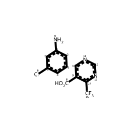 Nc1cccc(Cl)c1.O=C(O)c1cncnc1C(F)(F)F